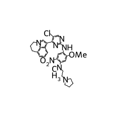 COc1cc(N(C)CCN2CCCC2)c([N+](=O)[O-])cc1Nc1ncc(Cl)c(-c2cn3c4c(cccc24)CCC3)n1